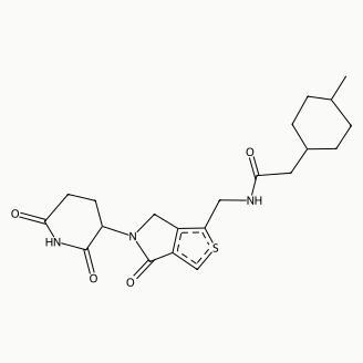 CC1CCC(CC(=O)NCc2scc3c2CN(C2CCC(=O)NC2=O)C3=O)CC1